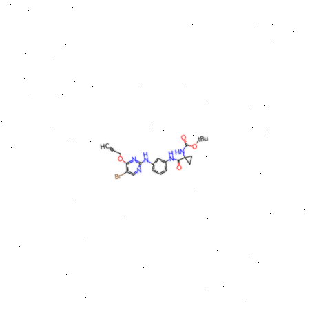 C#CCOc1nc(Nc2cccc(NC(=O)C3(NC(=O)OC(C)(C)C)CC3)c2)ncc1Br